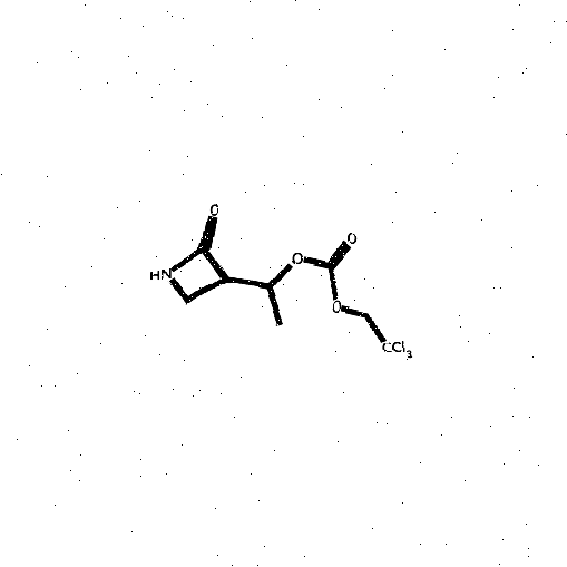 CC(OC(=O)OCC(Cl)(Cl)Cl)C1[CH]NC1=O